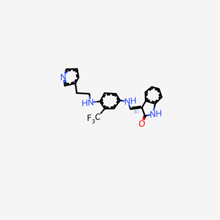 O=C1Nc2ccccc2/C1=C\Nc1ccc(NCCc2cccnc2)c(C(F)(F)F)c1